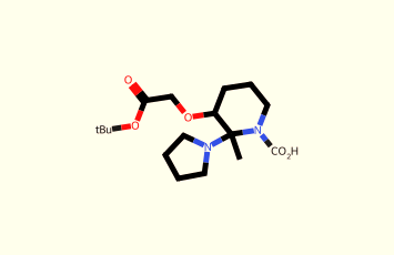 CC(C)(C)OC(=O)COC1CCCN(C(=O)O)C1(C)N1CCCC1